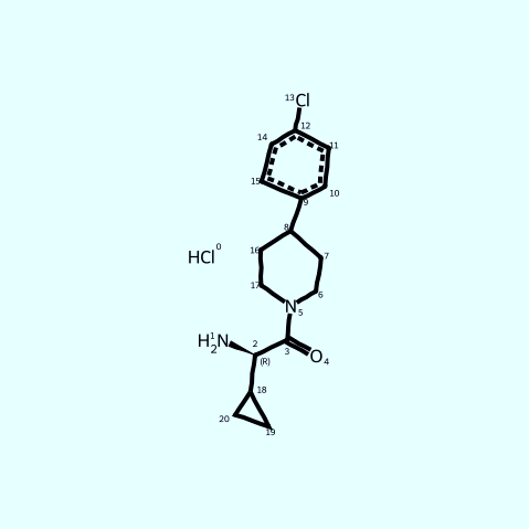 Cl.N[C@@H](C(=O)N1CCC(c2ccc(Cl)cc2)CC1)C1CC1